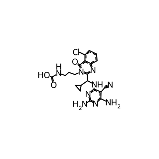 N#Cc1c(N)nc(N)nc1NC(c1nc2cccc(Cl)c2c(=O)n1CCCNC(=O)O)C1CC1